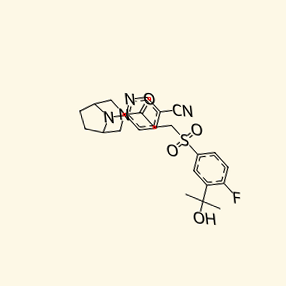 CC(C)(O)c1cc(S(=O)(=O)CCC(=O)N2CC3CCC(C2)N3c2ccc(C#N)cn2)ccc1F